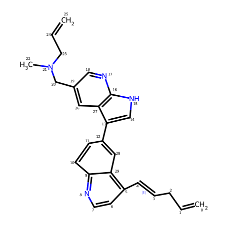 C=CC/C=C/c1ccnc2ccc(-c3c[nH]c4ncc(CN(C)CC=C)cc34)cc12